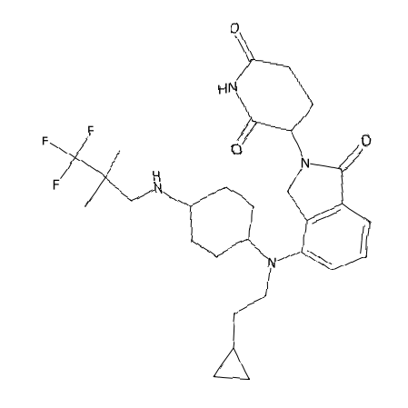 CC(C)(CNC1CCC(N(CCC2CC2)c2cccc3c2CN(C2CCC(=O)NC2=O)C3=O)CC1)C(F)(F)F